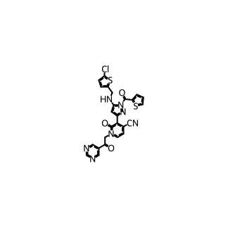 N#Cc1ccn(CC(=O)c2cncnc2)c(=O)c1-c1cc(NCc2ccc(Cl)s2)n(C(=O)c2cccs2)n1